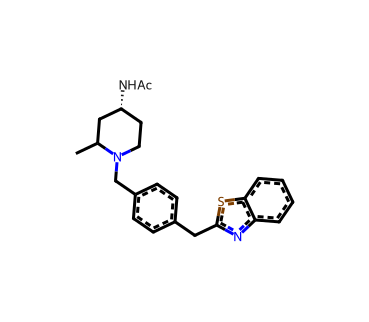 CC(=O)N[C@@H]1CCN(Cc2ccc(Cc3nc4ccccc4s3)cc2)C(C)C1